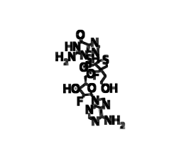 Nc1nc2c(ncn2[C@@H]2SC[C@](F)(CCO)[C@H]2P(=O)(S)OC[C@H]2O[C@@H](n3cnc4c(N)ncnc43)[C@@H](F)[C@@H]2O)c(=O)[nH]1